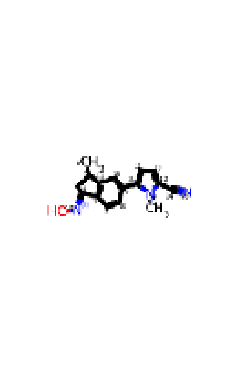 CC1C/C(=N\O)c2ccc(-c3ccc(C#N)n3C)cc21